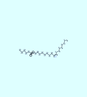 CCCCCCCC/C=C\CCCCCCC[CH]OC(=O)CCCCC